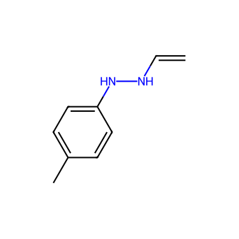 C=CNNc1ccc(C)cc1